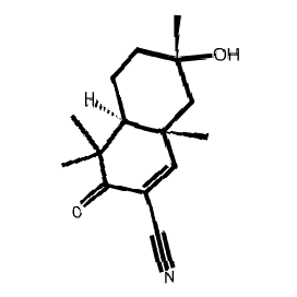 CC1(C)C(=O)C(C#N)=C[C@@]2(C)C[C@@](C)(O)CC[C@H]12